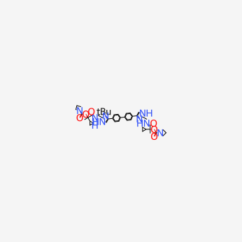 CC(C)(C)C(NC(=O)C(C)(OC(=O)N1CCC1)C1CC1)c1nc(-c2ccc(-c3ccc(-c4c[nH]c(CNC(=O)C(C)(OC(=O)N5CCC5)C5CC5)n4)cc3)cc2)c[nH]1